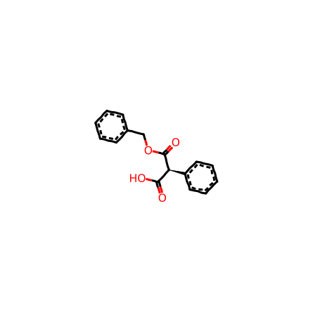 O=C(O)[C@@H](C(=O)OCc1ccccc1)c1ccccc1